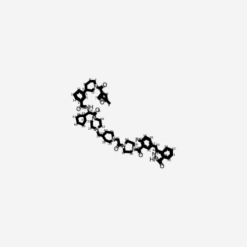 CC12CC(C(=O)N3CCCC(c4cccc(C(=O)N[C@@H](C(=O)N5CCN(CC6CCN(CC(=O)N7CCN(C(=O)c8cc(Cc9n[nH]c(=O)c%10ccccc9%10)ccc8F)CC7)CC6)CC5)C5CCCCC5)c4)C3)(CO1)C2